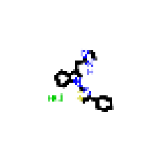 Cl.c1ccc(-c2csc(-n3cc(Cc4ncc[nH]4)c4ccccc43)n2)cc1